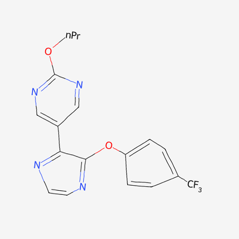 CCCOc1ncc(-c2nccnc2Oc2ccc(C(F)(F)F)cc2)cn1